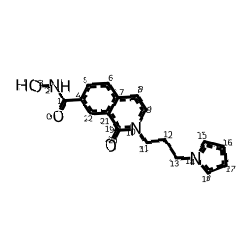 O=C(NO)c1ccc2ccn(CCCn3cccc3)c(=O)c2c1